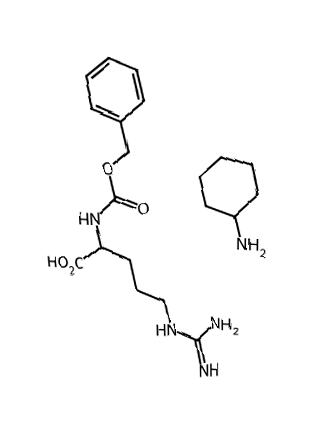 N=C(N)NCCCC(NC(=O)OCc1ccccc1)C(=O)O.NC1CCCCC1